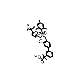 COc1cc(-c2cccc(C(C)(C)C(=O)O)c2)ccc1CN(Cc1ccc(C(F)(F)F)o1)S(=O)(=O)c1c(C)cc(C)cc1C